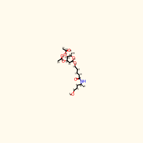 COCCC[C@H](C)NC(=O)CCCCO[C@H]1C[C@@H](OC(C)=O)[C@@H](OC(C)=O)[C@@H](C)O1